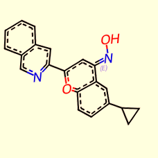 O/N=c1\cc(-c2cc3ccccc3cn2)oc2ccc(C3CC3)cc12